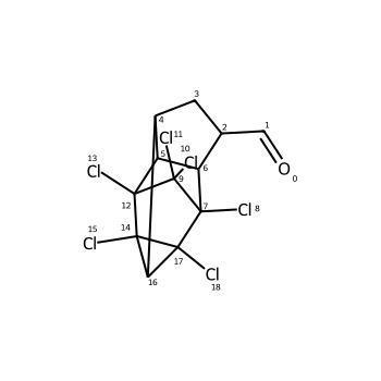 O=CC1CC2C3C1C1(Cl)C(Cl)(Cl)C3(Cl)C3(Cl)C2C13Cl